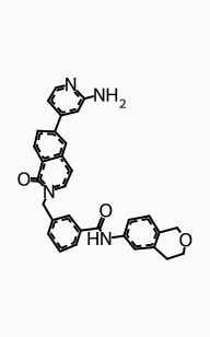 Nc1cc(-c2ccc3c(=O)n(Cc4cccc(C(=O)Nc5ccc6c(c5)CCOC6)c4)ccc3c2)ccn1